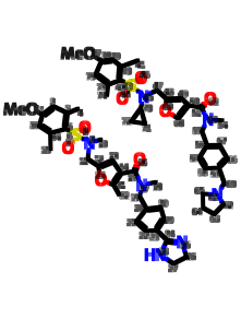 COc1cc(C)c(S(=O)(=O)N(C)Cc2cc(C(=O)N(C)Cc3ccc(C4=NCCN4)cc3)c(C)o2)c(C)c1.COc1cc(C)c(S(=O)(=O)N(Cc2cc(C(=O)N(C)Cc3ccc(CN4CCCC4)cc3)co2)C2CC2)c(C)c1